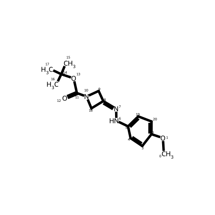 COc1ccc(NN=C2CN(C(=O)OC(C)(C)C)C2)cc1